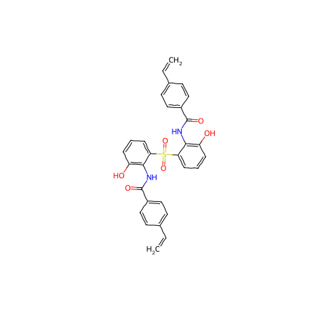 C=Cc1ccc(C(=O)Nc2c(O)cccc2S(=O)(=O)c2cccc(O)c2NC(=O)c2ccc(C=C)cc2)cc1